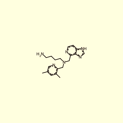 Cc1cnc(CN(CCCCN)Cc2nccc3[nH]cnc23)c(C)c1